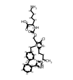 CCCCc1nc(Cl)c(COC(=O)NC(CCCCN)C(=O)O)n1Cc1ccc(-c2ccccc2-c2nnn[nH]2)cc1